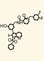 O=C(NCc1cc(O)cc(-c2c(I)n(S(=O)(=O)c3ccccc3)c3ncccc23)c1)c1cccn(Cc2ccc(F)c(F)c2)c1=O